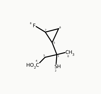 CC(S)(CC(=O)O)C1CC1F